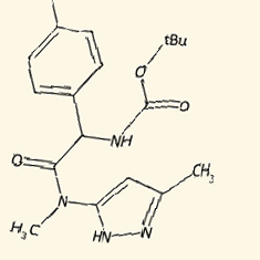 Cc1cc(N(C)C(=O)C(NC(=O)OC(C)(C)C)c2ccc(Cl)cc2)[nH]n1